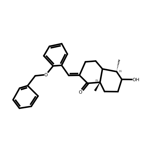 C[C@@H]1C(O)CC[C@]2(C)C(=O)C(=Cc3ccccc3OCc3ccccc3)CCC12